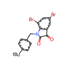 CC(C)(C)c1ccc(CN2C(=O)C(=O)c3cc(Br)cc(Br)c32)cc1